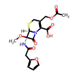 CO[C@]1(NC(=O)Cc2ccco2)C(=O)N2C(C(=O)O)=C(COC(C)=O)CS[C@@H]21